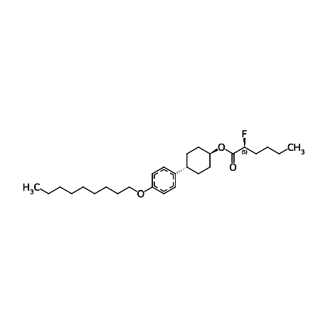 CCCCCCCCCOc1ccc([C@H]2CC[C@H](OC(=O)[C@@H](F)CCCC)CC2)cc1